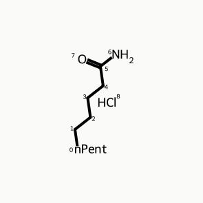 CCCCCCCCCC(N)=O.Cl